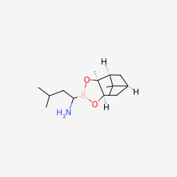 CC(C)CC(N)B1O[C@@H]2C[C@@H]3C[C@@H](C3(C)C)[C@]2(C)O1